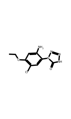 CCOc1cc(N)c(-n2nn[nH]c2=O)cc1Cl